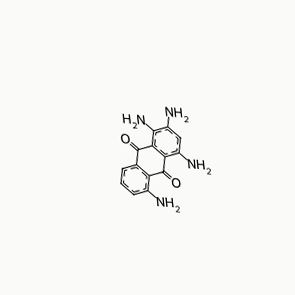 Nc1cc(N)c2c(c1N)C(=O)c1cccc(N)c1C2=O